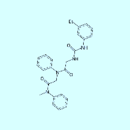 CCc1cccc(NC(=O)NCC(=O)N(CC(=O)N(C)c2ccccc2)c2ccccc2)c1